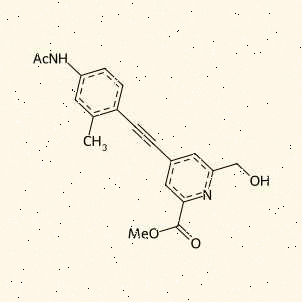 COC(=O)c1cc(C#Cc2ccc(NC(C)=O)cc2C)cc(CO)n1